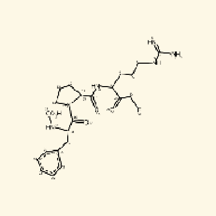 N=C(N)NCCCC(NC(=O)[C@@H]1CCCN1C(=O)C(Cc1ccccc1)NC(=O)O)C(=O)CF